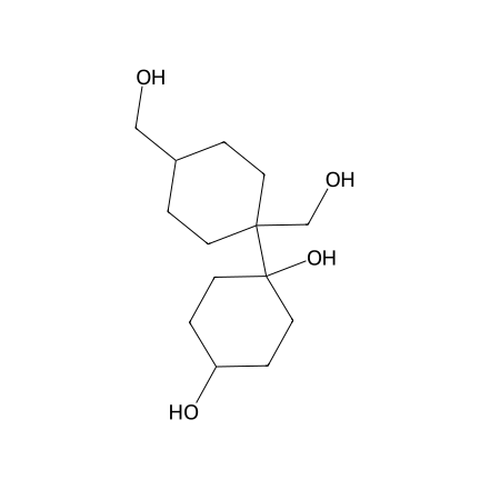 OCC1CCC(CO)(C2(O)CCC(O)CC2)CC1